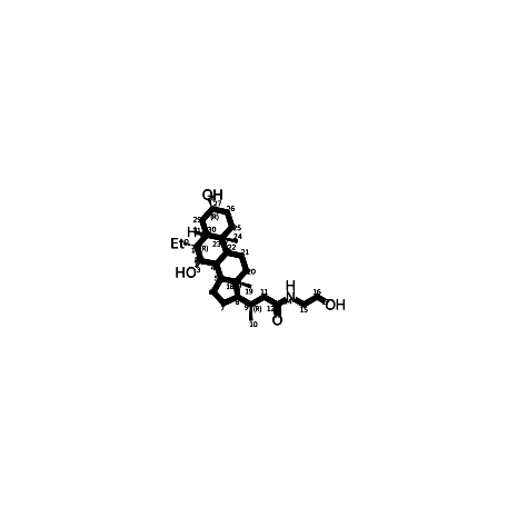 CC[C@H]1[C@@H](O)C2C3CCC([C@H](C)CC(=O)NCCO)[C@@]3(C)CCC2[C@@]2(C)CC[C@@H](O)C[C@@H]12